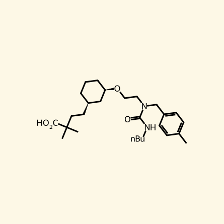 CCCCNC(=O)N(CCO[C@@H]1CCC[C@H](CCC(C)(C)C(=O)O)C1)Cc1ccc(C)cc1